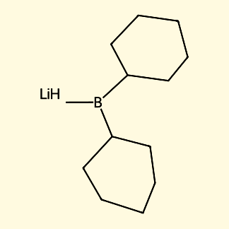 CB(C1CCCCC1)C1CCCCC1.[LiH]